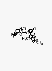 COC(=O)c1csc2c(-c3cc(Cl)ccc3OCCn3c(C)nc4c(c3=O)CN(CC(F)(F)F)CC4)cc(C)nc12